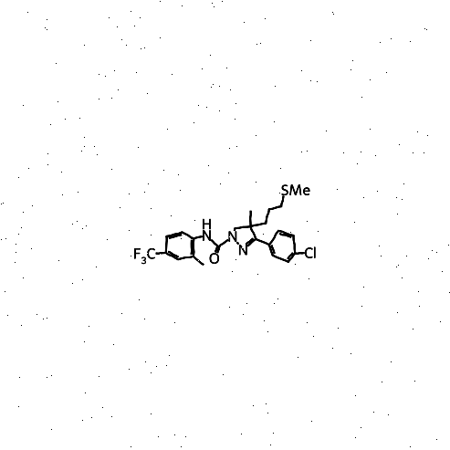 CSCCCC1(C)CN(C(=O)Nc2ccc(C(F)(F)F)cc2C)N=C1c1ccc(Cl)cc1